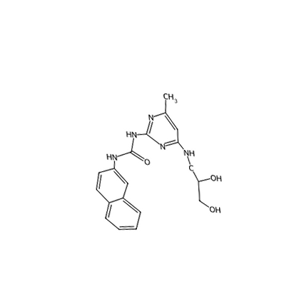 Cc1cc(NCC(O)CO)nc(NC(=O)Nc2ccc3ccccc3c2)n1